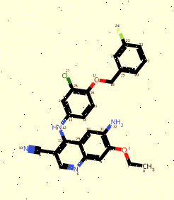 CCOc1cc2ncc(C#N)c(Nc3ccc(OCc4cccc(F)c4)c(Cl)c3)c2cc1N